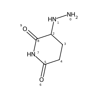 NNC1CCC(=O)NC1=O